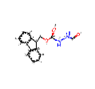 O=[C]NNC(=O)OCC1c2ccccc2-c2ccccc21